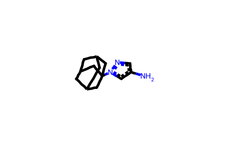 Nc1cnn(C23CC4CC(CC(C4)C2)C3)c1